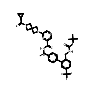 C[C@@H](NC(=O)c1cncc(N2CC3(CN(C(=O)C4CC4)C3)C2)n1)c1ccc(-c2cc(C(F)(F)F)ccc2CNC(=O)OC(C)(C)C)cc1